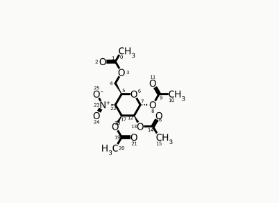 CC(=O)OC[C@H]1O[C@H](OC(C)=O)[C@@H](OC(C)=O)[C@@H](OC(C)=O)[C@@H]1[N+](=O)[O-]